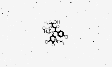 C/C(O)=C(\C=O)C(=O)C(c1ccc(Cl)cc1)N(C)c1cc(Cl)c(=O)n(C)c1